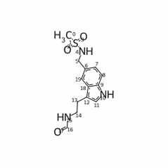 CS(=O)(=O)NCc1ccc2[nH]cc(CCNC=O)c2c1